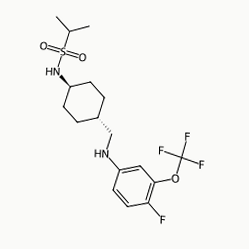 CC(C)S(=O)(=O)N[C@H]1CC[C@H](CNc2ccc(F)c(OC(F)(F)F)c2)CC1